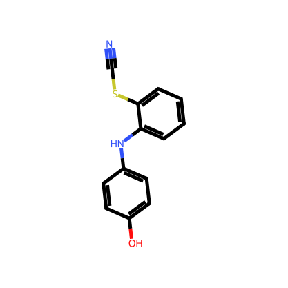 N#CSc1ccccc1Nc1ccc(O)cc1